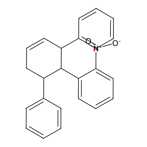 O=[N+]([O-])c1ccccc1C1C(c2ccccc2)C=CCC1c1ccccc1